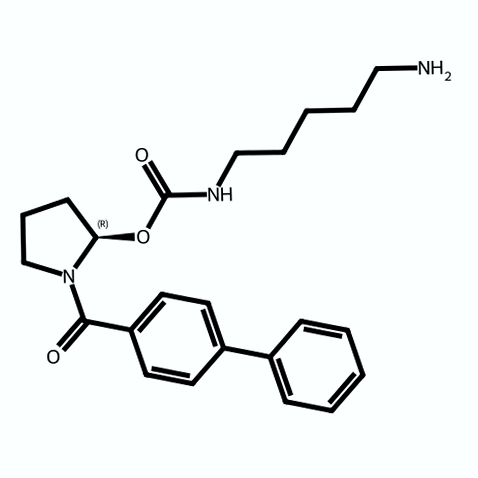 NCCCCCNC(=O)O[C@@H]1CCCN1C(=O)c1ccc(-c2ccccc2)cc1